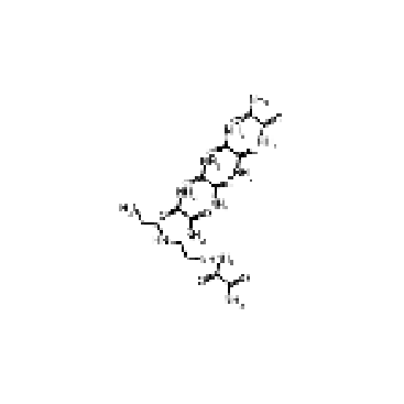 NC(=O)C(N)=O.NC(=O)C(N)=O.NC(=O)C(N)=O.NC(=O)C(N)=O.NC(=O)C(N)=O.NCCNCCN